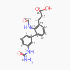 NC(=O)Nc1cccc(-c2cccc(CCC(=O)O)c2NC=O)c1